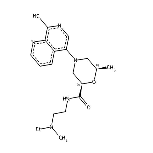 CCN(C)CCNC(=O)[C@H]1CN(c2cnc(C#N)c3ncccc23)C[C@@H](C)O1